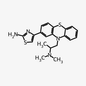 CC(CN1c2ccccc2Sc2ccc(-c3csc(N)n3)cc21)N(C)C